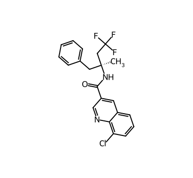 C[C@](Cc1ccccc1)(CC(F)(F)F)NC(=O)c1cnc2c(Cl)cccc2c1